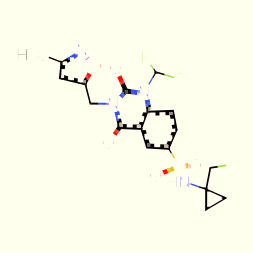 Cc1cc(Cn2c(=O)c3cc(S(=O)(=O)NC4(CF)CC4)ccc3n(C(F)F)c2=O)on1